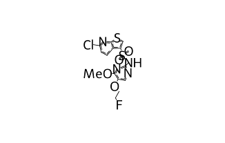 COc1nc(NS(=O)(=O)c2csc3nc(Cl)ccc23)ncc1OCCF